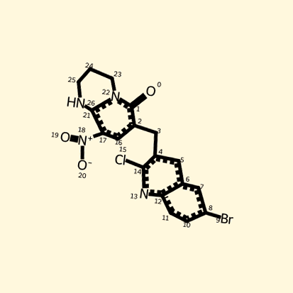 O=c1c(Cc2cc3cc(Br)ccc3nc2Cl)cc([N+](=O)[O-])c2n1CCCN2